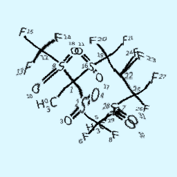 CC(S(=O)(=O)C(F)(F)F)(S(=O)(=O)C(F)(F)F)S(=O)(=O)C(F)(F)C(F)(F)C(F)(F)S(C)(=O)=O